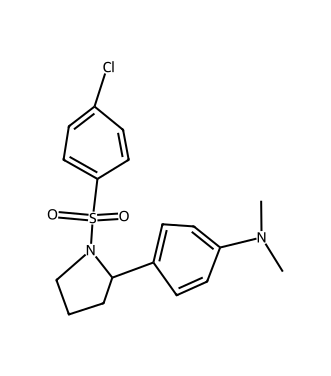 CN(C)c1ccc(C2CCCN2S(=O)(=O)c2ccc(Cl)cc2)cc1